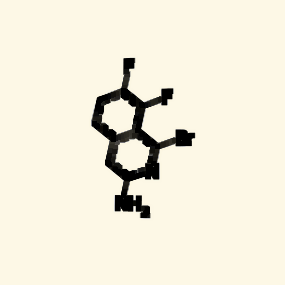 Nc1cc2ccc(F)c(F)c2c(Br)n1